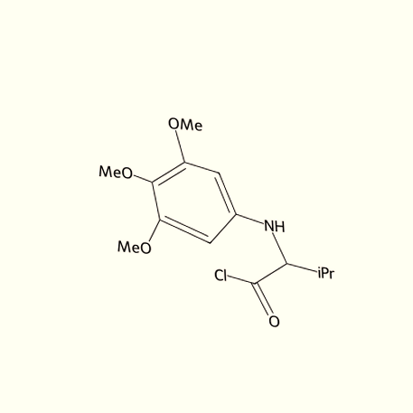 COc1cc(NC(C(=O)Cl)C(C)C)cc(OC)c1OC